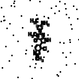 CC[C@H]1CN(c2nc3[nH]cc(-c4ccc5nn(C)cc5c4Cl)c3c(=O)n2C)C[C@H]1N